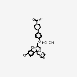 CCCC(=O)N1CCN(c2ccc(OCC3COC(Cn4cncn4)(c4ccc(Cl)cc4Cl)O3)cc2)CC1.Cl.Cl